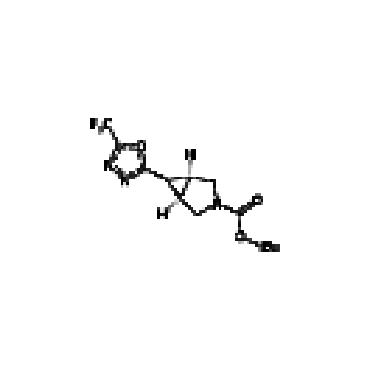 CC(C)(C)OC(=O)N1C[C@@H]2C(c3nnc(C(F)(F)F)o3)[C@@H]2C1